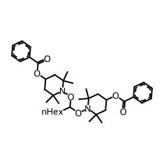 CCCCCCC(ON1C(C)(C)CC(OC(=O)c2ccccc2)CC1(C)C)ON1C(C)(C)CC(OC(=O)c2ccccc2)CC1(C)C